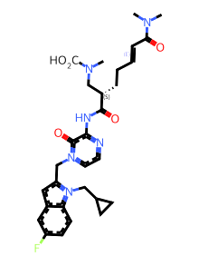 CN(C)C(=O)/C=C/CC[C@@H](CN(C)C(=O)O)C(=O)Nc1nccn(Cc2cc3cc(F)ccc3n2CC2CC2)c1=O